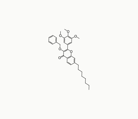 CCCCCCCCc1ccc2c(=O)c(OCc3ccccc3)c(-c3cc(OC)c(OC)c(OC)c3)oc2c1